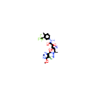 COc1ncnc(C(O)N[C@H](C)c2cc(C(=O)Nc3ccc(C)c(C(F)(F)F)c3)on2)c1Cl